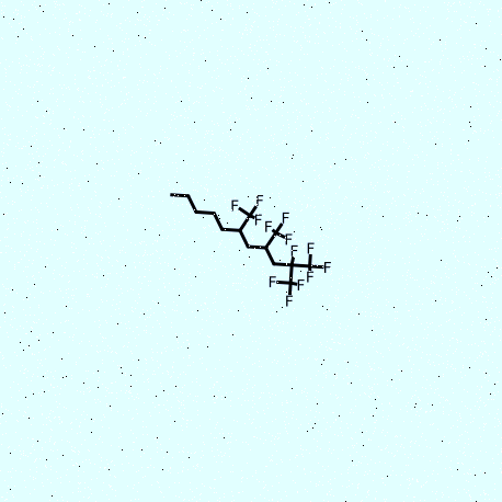 CCCCCC(CC(CC(F)(C(F)(F)F)C(F)(F)F)C(F)(F)F)C(F)(F)F